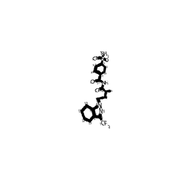 CC(CCn1nc(C(F)(F)F)c2c1CCCC2)C(=O)NC(=O)c1ccc(S(N)(=O)=O)cc1